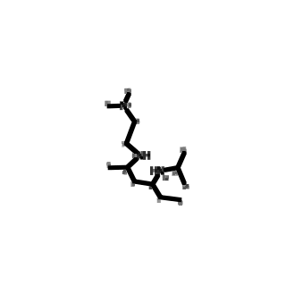 CCC(CC(C)NCCN(C)C)NC(C)C